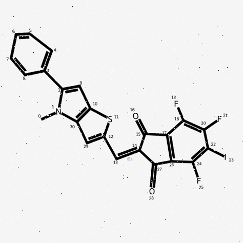 Cn1c(-c2ccccc2)cc2sc(/C=C3\C(=O)c4c(F)c(F)c(I)c(F)c4C3=O)cc21